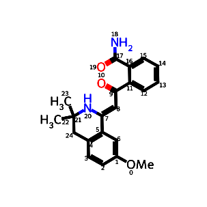 COc1ccc2c(c1)C(=CC(=O)c1ccccc1C(N)=O)NC(C)(C)C2